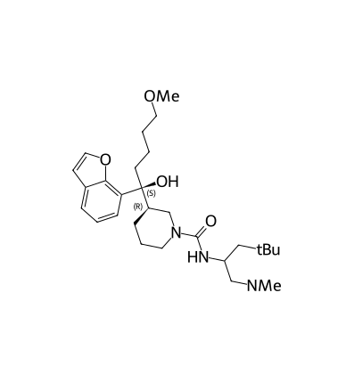 CNCC(CC(C)(C)C)NC(=O)N1CCC[C@@H]([C@@](O)(CCCCOC)c2cccc3ccoc23)C1